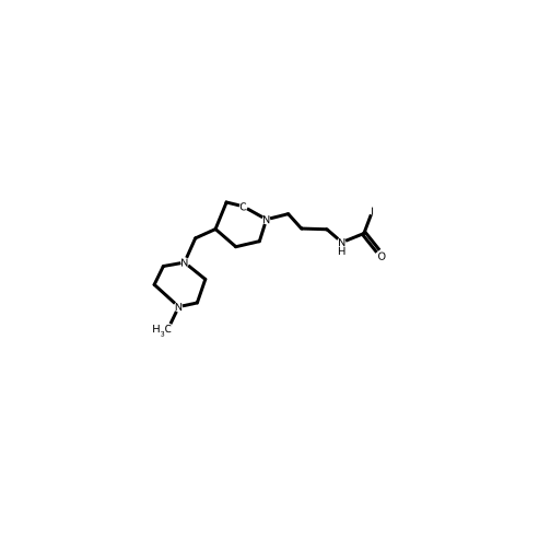 CN1CCN(CC2CCN(CCCNC(=O)I)CC2)CC1